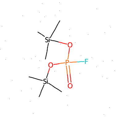 C[Si](C)(C)OP(=O)(F)O[Si](C)(C)C